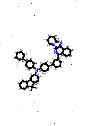 CC1(C)c2ccccc2-c2cc(N(c3ccc(-c4ccccc4)cc3)c3ccc(-c4cccc(-c5nc6c(nc7ccccn76)c6ccccc56)c4)cc3)ccc21